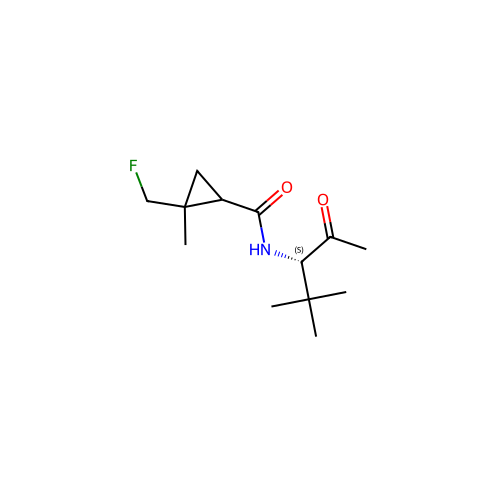 CC(=O)[C@@H](NC(=O)C1CC1(C)CF)C(C)(C)C